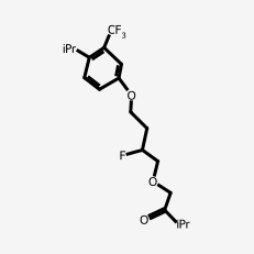 CC(C)C(=O)COCC(F)CCOc1ccc(C(C)C)c(C(F)(F)F)c1